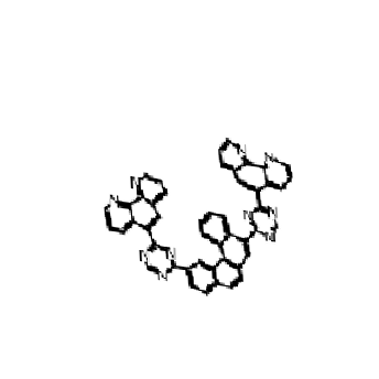 c1cnc2c(c1)cc(-c1ncnc(-c3ccc4ccc5cc(-c6ncnc(-c7cc8cccnc8c8ncccc78)n6)c6ccccc6c5c4c3)n1)c1cccnc12